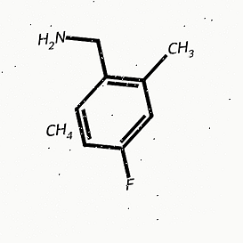 C.Cc1cc(F)ccc1CN